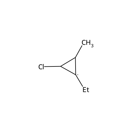 CC[C]1C(C)C1Cl